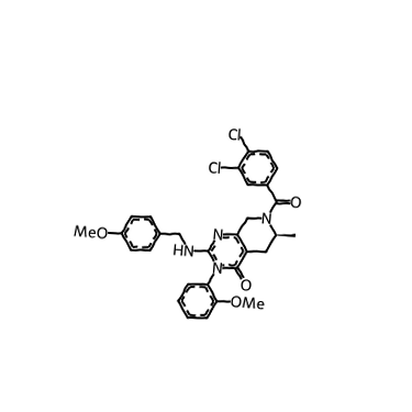 COc1ccc(CNc2nc3c(c(=O)n2-c2ccccc2OC)C[C@H](C)N(C(=O)c2ccc(Cl)c(Cl)c2)C3)cc1